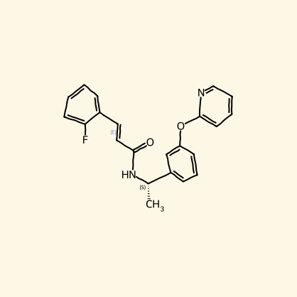 C[C@H](NC(=O)/C=C/c1ccccc1F)c1cccc(Oc2ccccn2)c1